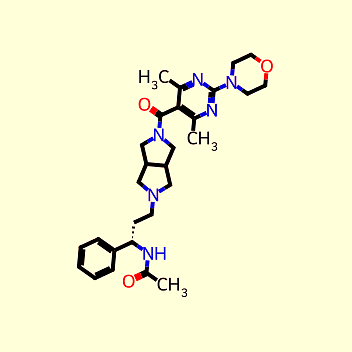 CC(=O)N[C@@H](CCN1CC2CN(C(=O)c3c(C)nc(N4CCOCC4)nc3C)CC2C1)c1ccccc1